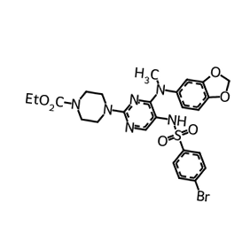 CCOC(=O)N1CCN(c2ncc(NS(=O)(=O)c3ccc(Br)cc3)c(N(C)c3ccc4c(c3)OCO4)n2)CC1